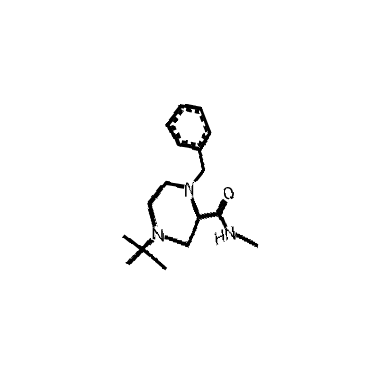 CNC(=O)C1CN(C(C)(C)C)CCN1Cc1ccccc1